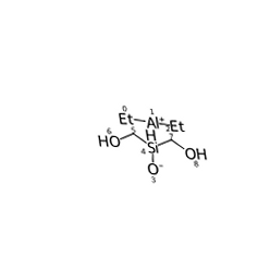 C[CH2][Al+][CH2]C.[O-][SiH](CO)CO